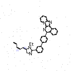 C=C/C=C\C=C1/CN=C(c2cccc(-c3ccc(-c4nc5c(nc6ccccn65)c5ccccc45)cc3)c2)N1CC